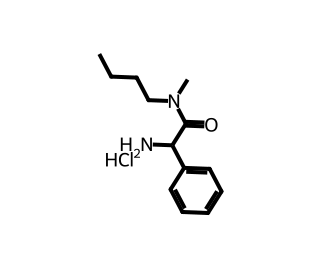 CCCCN(C)C(=O)C(N)c1ccccc1.Cl